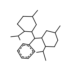 CC1CCC(C(C)C)C([C](c2ccccc2)C2CC(C)CCC2C(C)C)C1